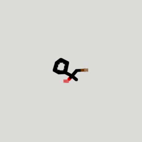 CC(O)(CS)c1ccccc1